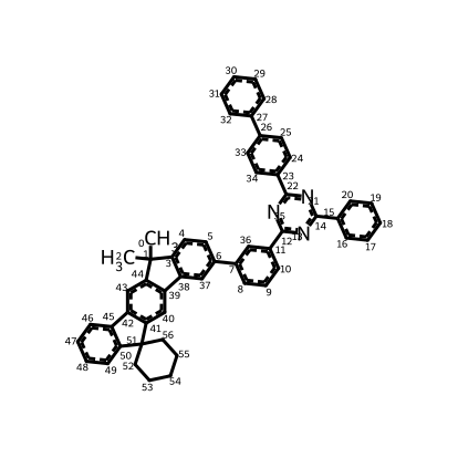 CC1(C)c2ccc(-c3cccc(-c4nc(-c5ccccc5)nc(-c5ccc(-c6ccccc6)cc5)n4)c3)cc2-c2cc3c(cc21)-c1ccccc1C31CCCCC1